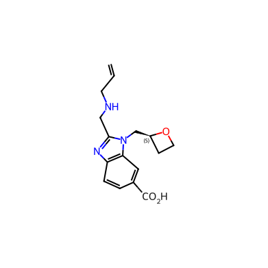 C=CCNCc1nc2ccc(C(=O)O)cc2n1C[C@@H]1CCO1